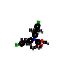 COc1cc(N(c2ccc(C(C)(C)c3ccc(Br)cc3)cc2)c2ccc(C(C)(C)c3ccc(Br)cc3)cc2)cc(OC)c1OC